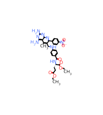 CCOC(=O)CC[C@H](NC(=O)c1ccc(NCc2c(-c3ccc([N+](=O)[O-])cc3)nc3nc(N)nc(N)c3c2C)cc1)C(=O)OCC